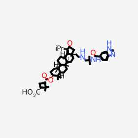 CC(C)C1=C2[C@H]3CC[C@@H]4[C@@]5(C)CC[C@H](OC(=O)[C@H]6C[C@@H](C(=O)O)C6(C)C)C(C)(C)[C@@H]5CC[C@@]4(C)[C@]3(C)CC[C@@]2(CCNCC(C)(C)NC(=O)c2ccc3nc[nH]c3c2)CC1=O